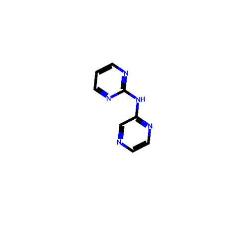 c1cnc(Nc2cnccn2)nc1